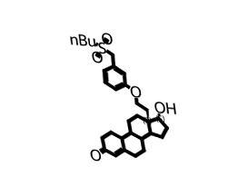 CCCCS(=O)(=O)Cc1cccc(OCC[C@]23CCC4C5CCC(=O)C=C5CCC4C2CC[C@@H]3O)c1